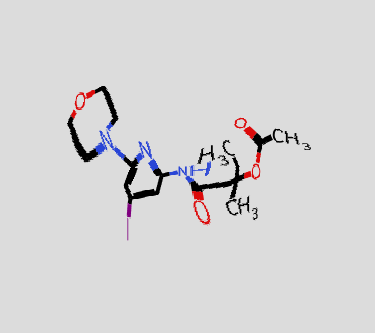 CC(=O)OC(C)(C)C(=O)Nc1cc(I)cc(N2CCOCC2)n1